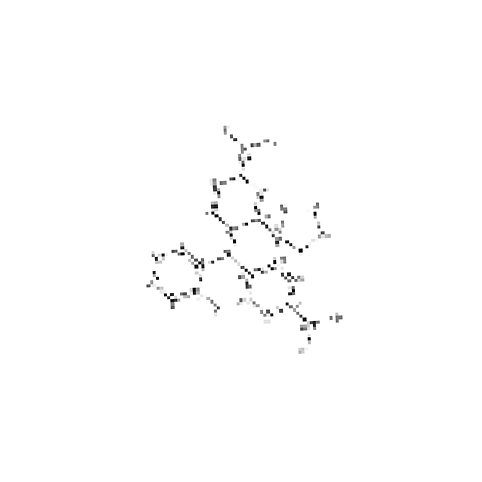 Cc1ccccc1C1=C2C=CC(=[N+](C)C)C=C2[Si]2(CCCC2)c2cc(N(C)C)ccc21